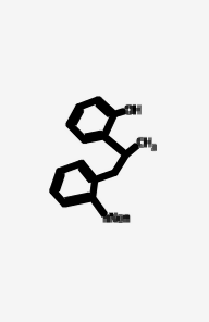 CCCCCCCCCc1ccccc1CC(C)c1ccccc1O